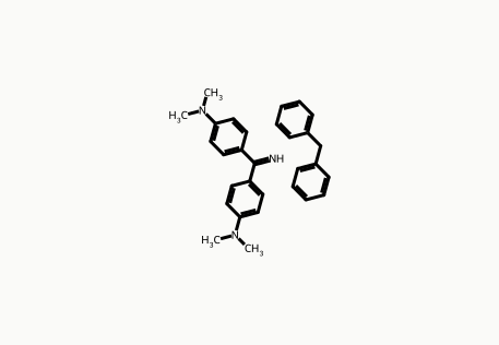 CN(C)c1ccc(C(=N)c2ccc(N(C)C)cc2)cc1.c1ccc(Cc2ccccc2)cc1